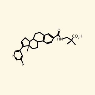 CC(C)(CNC(=O)c1ccc2c(c1)CCC1C2CC[C@]2(C)C(c3cncc(F)c3)=CCC12)C(=O)O